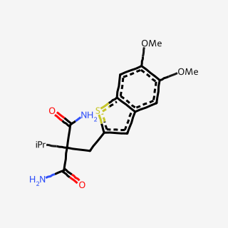 COc1cc2cc(CC(C(N)=O)(C(N)=O)C(C)C)sc2cc1OC